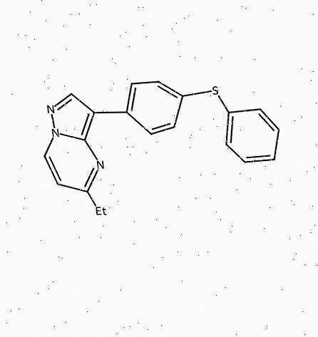 CCc1ccn2ncc(-c3ccc(Sc4ccccc4)cc3)c2n1